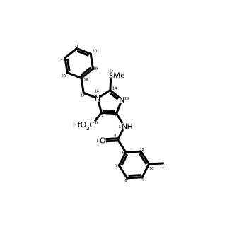 CCOC(=O)c1c(NC(=O)c2cccc(C)c2)nc(SC)n1Cc1ccccc1